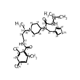 Cc1cc(Cl)nc(Cl)c1C(=O)NCC[C@@H](C)N1CCC(N(Cc2ccsc2)C(=O)NN(C)C)CC1